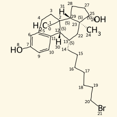 C=CC12CCc3cc(O)ccc3[C@H]1[C@@H](CCCCCCCBr)C[C@]1(C)[C@@H](O)CC[C@@H]21